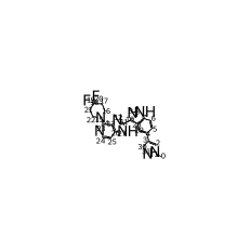 Cn1cc(-c2ccc3[nH]nc(-c4nc5c(N6CCC(F)(F)CC6)nccc5[nH]4)c3c2)cn1